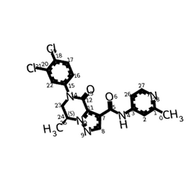 Cc1cc(NC(=O)c2cnn3c2C(=O)N(c2ccc(Cl)c(Cl)c2)C[C@@H]3C)ccn1